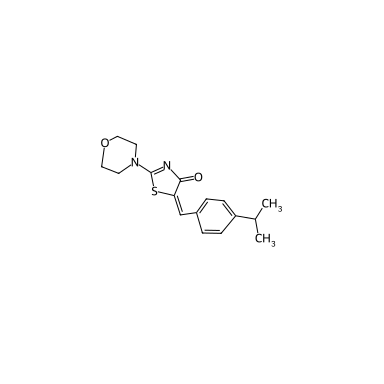 CC(C)c1ccc(C=C2SC(N3CCOCC3)=NC2=O)cc1